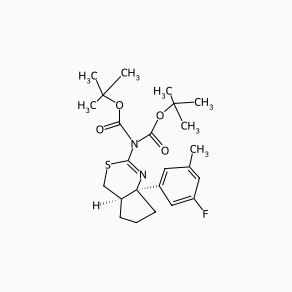 Cc1cc(F)cc([C@]23CCC[C@H]2CSC(N(C(=O)OC(C)(C)C)C(=O)OC(C)(C)C)=N3)c1